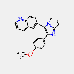 COc1ccc(-c2nc3n(c2-c2ccc4ncccc4c2)CCC3)cc1